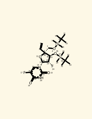 C=C[C@]1(CO[Si](C)(C)C(C)(C)C)O[C@@H](n2cc(F)c(=O)[nH]c2=O)[C@@H](F)[C@@H]1O[Si](C)(C)C(C)(C)C